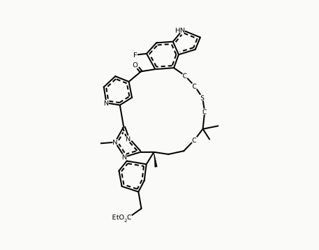 CCOC(=O)Cc1cccc([C@@]2(C)CCCC(C)(C)CSCCc3c(c(F)cc4[nH]ccc34)C(=O)c3ccnc(c3)-c3nc2nn3C)c1